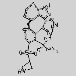 NS(=O)(=O)c1c(S(=O)(=O)C2CNC2)ccc(-c2cccc3[nH]ncc23)c1-c1nnn[nH]1